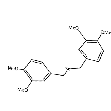 COc1ccc(C[Se]Cc2ccc(OC)c(OC)c2)cc1OC